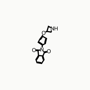 O=C1c2ccccc2C(=O)N1c1ccc(OC2CNC2)cc1